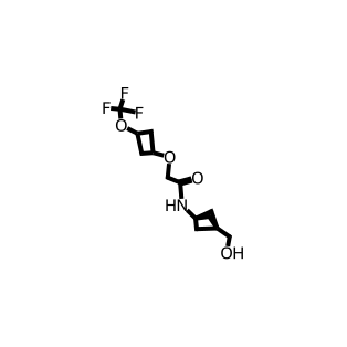 O=C(COC1CC(OC(F)(F)F)C1)NC12CC(CO)(C1)C2